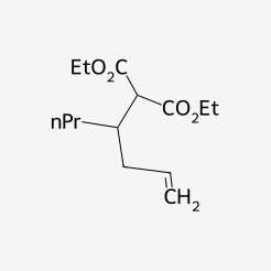 C=CCC(CCC)C(C(=O)OCC)C(=O)OCC